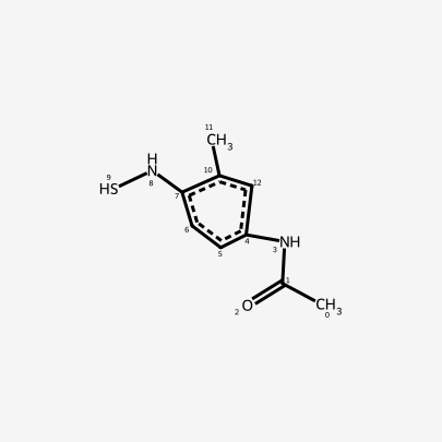 CC(=O)Nc1ccc(NS)c(C)c1